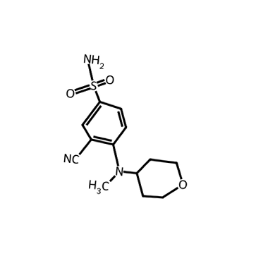 CN(c1ccc(S(N)(=O)=O)cc1C#N)C1CCOCC1